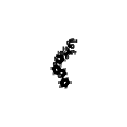 CC(C)C(NC(=O)OC(C)(C)C)C(=O)Nc1ccc(Oc2ccc3c(c2)CC[C@@H](c2ccccc2)O3)nc1